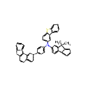 CC1(C)c2ccccc2-c2ccc(N(c3ccc(-c4ccc5ccc6c(c5c4)-c4ccccc4C6)cc3)c3ccc4sc5ccccc5c4c3)cc21